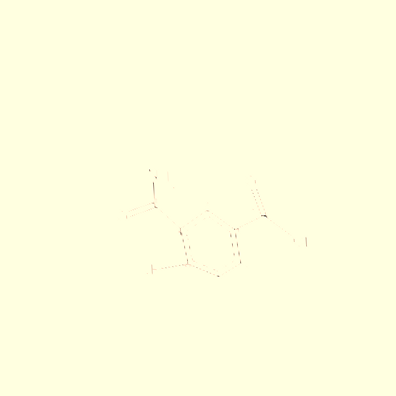 NC(=O)c1cc(C(=O)O)ccc1F